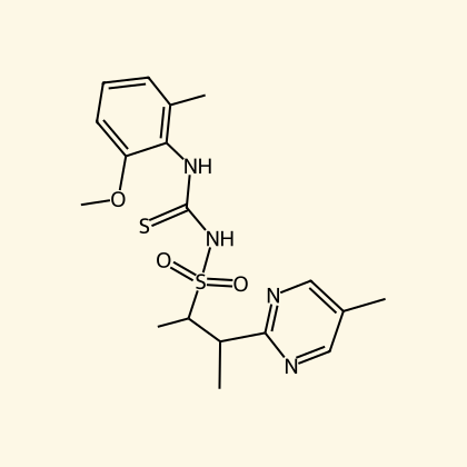 COc1cccc(C)c1NC(=S)NS(=O)(=O)C(C)C(C)c1ncc(C)cn1